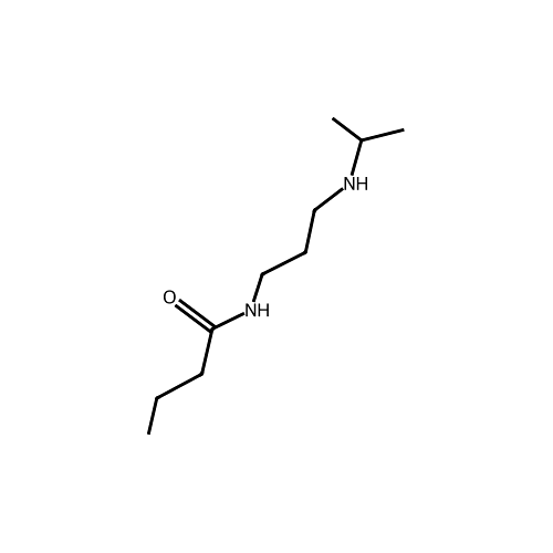 CCCC(=O)NCCCNC(C)C